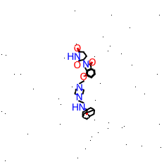 O=C1CCC(N2Cc3c(OCCN4CCN(CCNC56CC7CC(CC(C7)C5)C6)CC4)cccc3C2=O)C(=O)N1